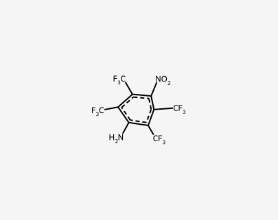 Nc1c(C(F)(F)F)c(C(F)(F)F)c([N+](=O)[O-])c(C(F)(F)F)c1C(F)(F)F